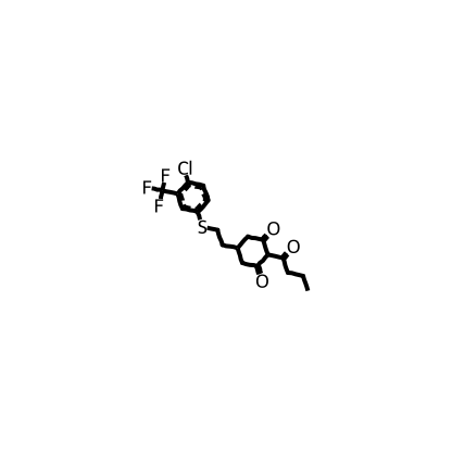 CCCC(=O)C1C(=O)CC(CCSc2ccc(Cl)c(C(F)(F)F)c2)CC1=O